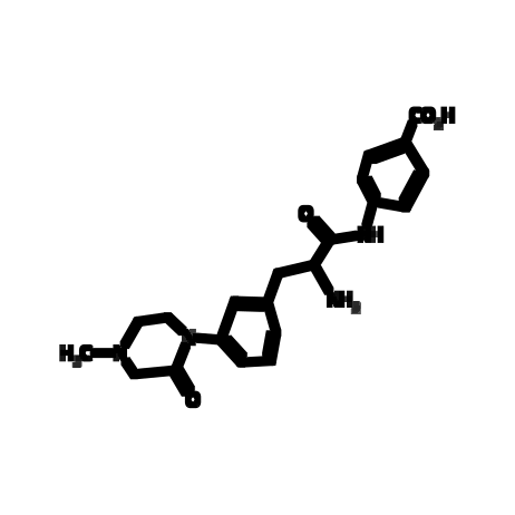 CN1CCN(c2cccc(CC(N)C(=O)Nc3ccc(C(=O)O)cc3)c2)C(=O)C1